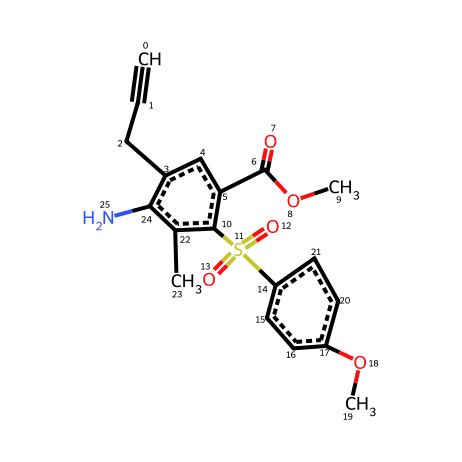 C#CCc1cc(C(=O)OC)c(S(=O)(=O)c2ccc(OC)cc2)c(C)c1N